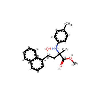 Cc1ccc(NC(C[C@@H](O)c2cccc3ccccc23)(C(=O)OC(C)C)C(C)C)cc1